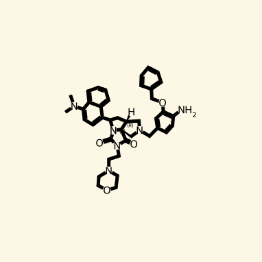 CN(C)c1ccc(C2C[C@@H]3CN(Cc4ccc(N)c(OCc5ccccc5)c4)C[C@]34C(=O)N(CCN3CCOCC3)C(=O)N24)c2ccccc12